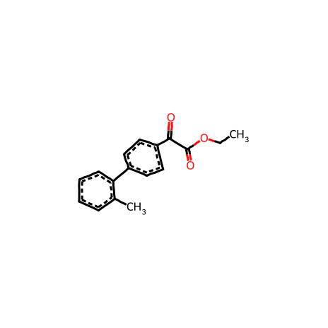 CCOC(=O)C(=O)c1ccc(-c2ccccc2C)cc1